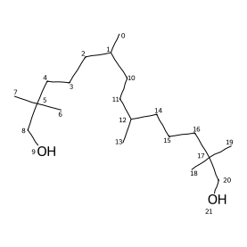 CC(CCCC(C)(C)CO)CCC(C)CCCC(C)(C)CO